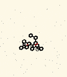 C1=C(c2ccc(N(c3cccc(-c4cccc(-c5ccccc5)c4)c3)c3ccccc3-c3cccc4c3oc3ccccc34)cc2)C(n2c3ccccc3c3ccccc32)=CCC1